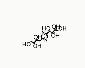 OC[C@@H](O)[C@H](O)[C@@H](O)c1cnc(C[C@@H](O)[C@H](O)CO)cn1